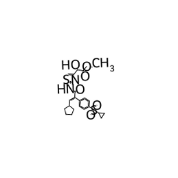 CCOC(=O)C(O)c1csc(NC(=O)/C(=C/C2CCCC2)c2ccc(S(=O)(=O)C3CC3)cc2)n1